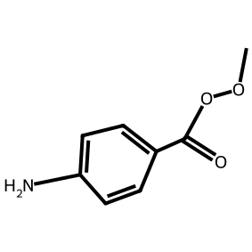 COOC(=O)c1ccc(N)cc1